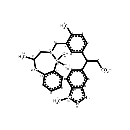 Cc1ccc(C(CC(=O)O)c2ccc3c(c2)nnn3C)cc1CN1CC(C)Oc2ccccc2S1(O)O